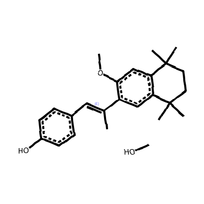 CO.COc1cc2c(cc1/C(C)=C/c1ccc(O)cc1)C(C)(C)CCC2(C)C